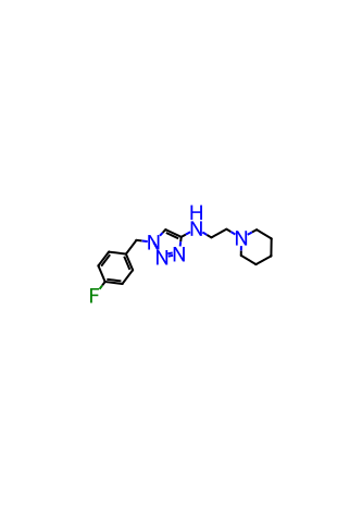 Fc1ccc(Cn2cc(NCCN3CCCCC3)nn2)cc1